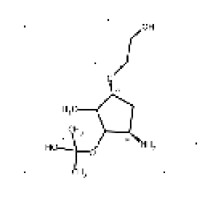 CC1C(OC(C)(C)O)[C@H](N)C[C@@H]1OCCO